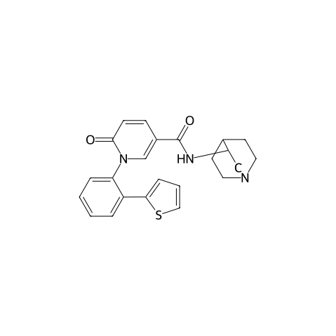 O=C(NC1CN2CCC1CC2)c1ccc(=O)n(-c2ccccc2-c2cccs2)c1